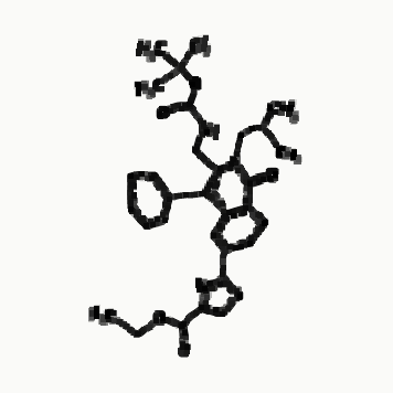 CCOC(=O)c1csc(-c2ccc3c(=O)n(CC(C)C)c(CNC(=O)OC(C)(C)C)c(-c4ccccc4)c3c2)n1